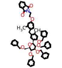 Cc1cc(OCCN2C(=O)c3ccccc3C2=O)ccc1Cc1cc([C@@H]2O[C@H](COCc3ccccc3)[C@@H](OCc3ccccc3)[C@H](OCc3ccccc3)[C@H]2OCc2ccccc2)c(OCc2ccccc2)cc1C